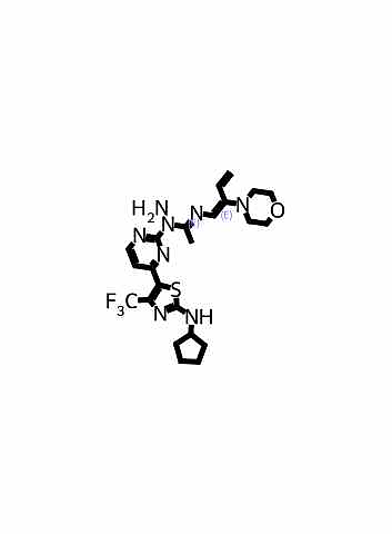 C=C/C(=C\N=C(/C)N(N)c1nccc(-c2sc(NC3CCCC3)nc2C(F)(F)F)n1)N1CCOCC1